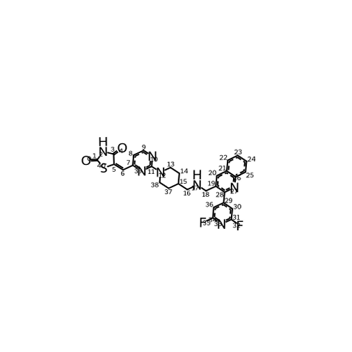 O=C1NC(=O)/C(=C\c2ccnc(N3CCC(CNCc4cc5ccccc5nc4-c4cc(F)nc(F)c4)CC3)n2)S1